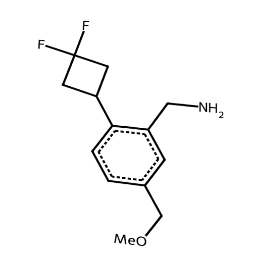 COCc1ccc(C2CC(F)(F)C2)c(CN)c1